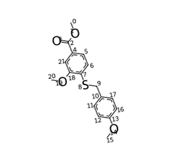 COC(=O)c1ccc(SCc2ccc(OC)cc2)c(OC)c1